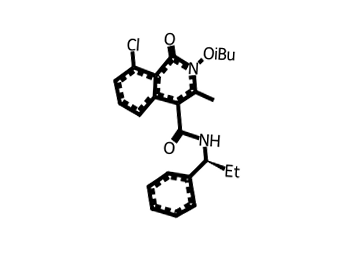 CC[C@H](NC(=O)c1c(C)n(OCC(C)C)c(=O)c2c(Cl)cccc12)c1ccccc1